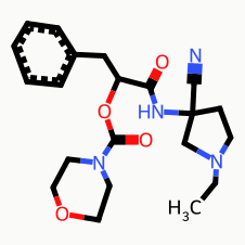 CCN1CCC(C#N)(NC(=O)C(Cc2ccccc2)OC(=O)N2CCOCC2)C1